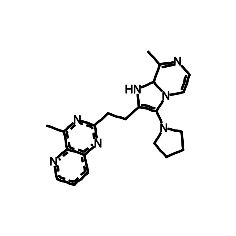 CC1=NC=CN2C(N3CCCC3)=C(CCc3nc(C)c4ncccc4n3)NC12